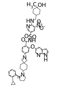 CC1(O)CCC(CNc2ncc(S(=O)(=O)NC(=O)c3ccc(N4CC5(CCC(N6CCC[C@H]6c6ccccc6C6CC6)CC5)C4)cc3Oc3cnc4[nH]ccc4c3)cc2[N+](=O)[O-])CC1